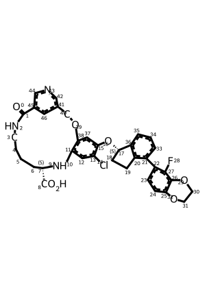 O=C1NCCCC[C@@H](C(=O)O)NCc2cc(Cl)c(O[C@H]3CCc4c(-c5ccc6c(c5F)OCCO6)cccc43)cc2OCc2cncc1c2